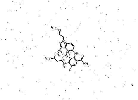 COCCn1nc(C)c2cc(Nc3nc(N[C@@H](CN)CC(C)C)c(F)cc3C(N)=O)ccc21